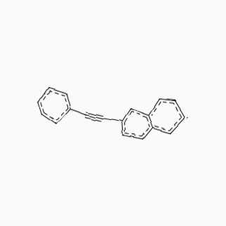 C(#Cc1ccc2c[c]ccc2c1)c1ccccc1